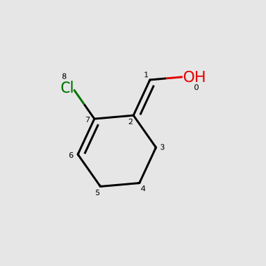 OC=C1CCCC=C1Cl